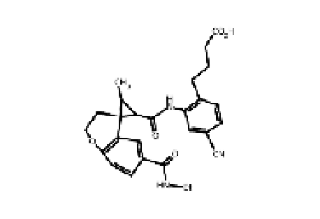 CCNC(=O)c1ccc2c(c1)[C@]1(CCO2)C(C)C1C(=O)Nc1cc(C#N)ccc1CCCC(=O)O